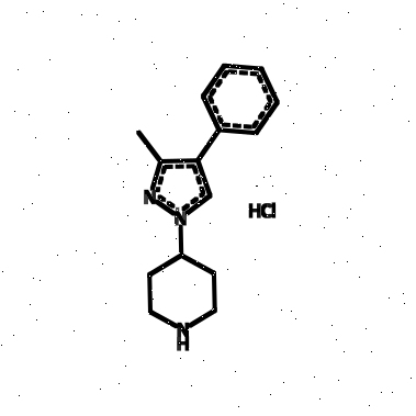 Cc1nn(C2CCNCC2)cc1-c1ccccc1.Cl